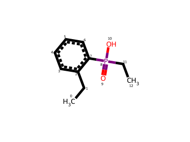 CCc1ccccc1P(=O)(O)CC